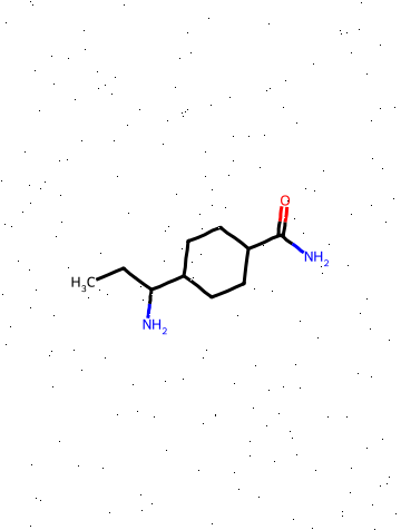 CCC(N)C1CCC(C(N)=O)CC1